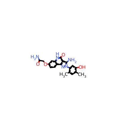 Cc1cc(C)c(-n2nc3c(c2N)c(=O)[nH]c2cc(OCC(N)=O)ccc23)cc1O